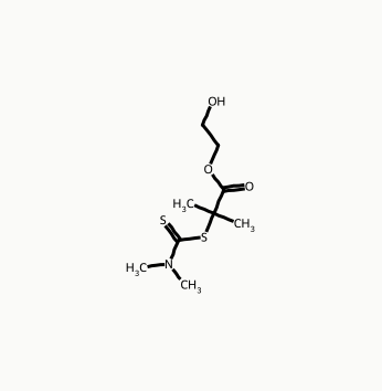 CN(C)C(=S)SC(C)(C)C(=O)OCCO